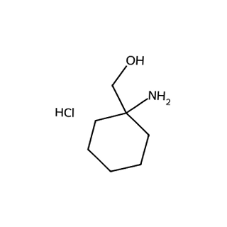 Cl.NC1(CO)CCCCC1